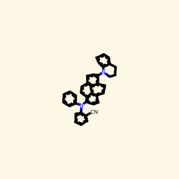 N#Cc1ccccc1N(c1ccccc1)c1ccc2ccc3c(N4CCCc5ccccc54)ccc4ccc1c2c43